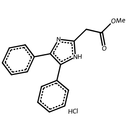 COC(=O)Cc1nc(-c2ccccc2)c(-c2ccccc2)[nH]1.Cl